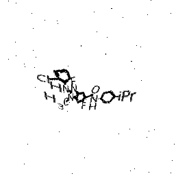 CC(C)[C@H]1CC[C@H](NC(=O)c2cc3nc(Nc4c(F)cccc4Cl)n(C)c3cc2F)CC1